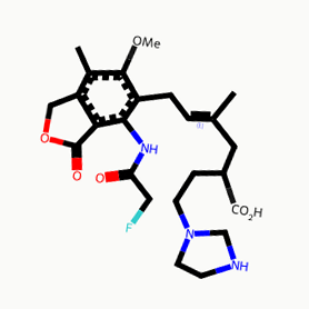 COc1c(C)c2c(c(NC(=O)CF)c1C/C=C(\C)CC(CCN1CCNC1)C(=O)O)C(=O)OC2